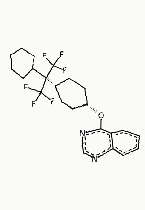 FC(F)(F)C(C1CCCCC1)([C@H]1CC[C@@H](Oc2ncnc3ccccc23)CC1)C(F)(F)F